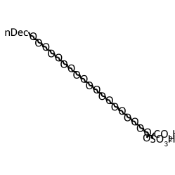 CCCCCCCCCCCCOCCOCCOCCOCCOCCOCCOCCOCCOCCOCCOCCOCCOCCOCCOCCOCCOCCOCCOC(=O)C(CC(=O)O)S(=O)(=O)O